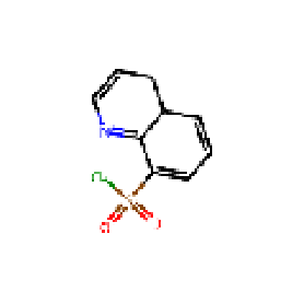 O=S(=O)(Cl)C1=CC=CC2CC=CN=C12